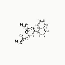 CC(=O)OC(/C=C/c1cccc2ccccc12)OC(C)=O